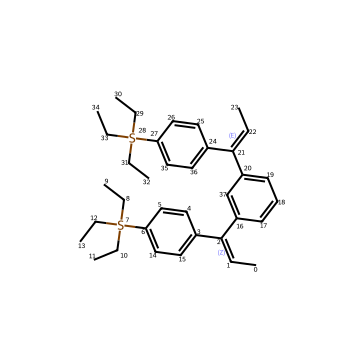 C/C=C(/c1ccc(S(CC)(CC)CC)cc1)c1cccc(/C(=C/C)c2ccc(S(CC)(CC)CC)cc2)c1